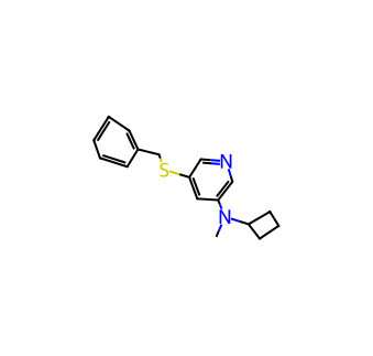 CN(c1cncc(SCc2ccccc2)c1)C1CCC1